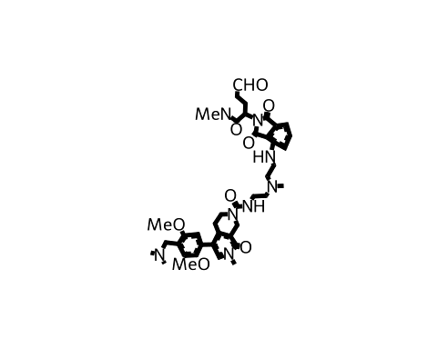 CNC(=O)C(CCC=O)N1C(=O)c2cccc(NCCN(C)CCNC(=O)N3CCc4c(-c5cc(OC)c(CN(C)C)c(OC)c5)cn(C)c(=O)c4C3)c2C1=O